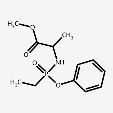 CCP(=O)(NC(C)C(=O)OC)Oc1ccccc1